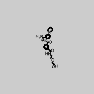 NC(=O)c1cc(N2CCCCC2)ccc1NC(=O)c1cccc(C(=O)NCCOCCO)c1